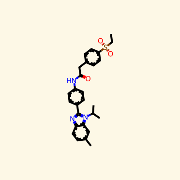 CCS(=O)(=O)c1ccc(CC(=O)Nc2ccc(-c3nc4ccc(C)cc4n3C(C)C)cc2)cc1